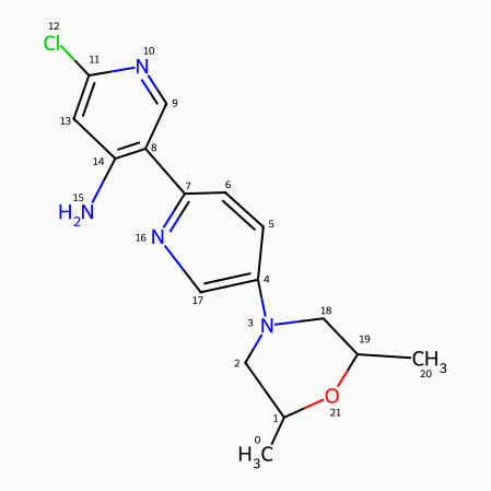 CC1CN(c2ccc(-c3cnc(Cl)cc3N)nc2)CC(C)O1